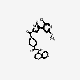 COc1cc(-c2cc(C(=O)N3CCC(C(=O)NC4CCCc5cnccc54)CC3)n[nH]2)c(Cl)cn1